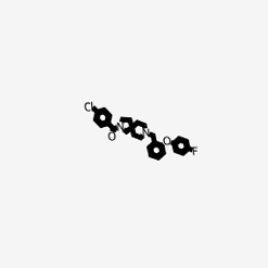 O=C(c1ccc(Cl)cc1)N1CCC2(CCN(Cc3ccccc3Oc3ccc(F)cc3)CC2)C1